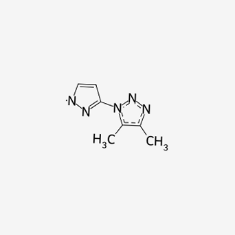 Cc1nnn(C2=N[N]C=C2)c1C